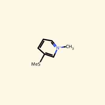 [CH2]Sc1ccc[n+](C)c1